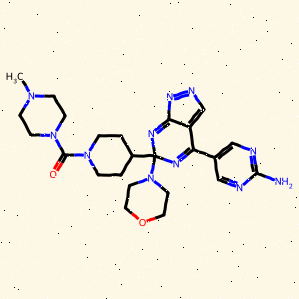 CN1CCN(C(=O)N2CCC(C3(N4CCOCC4)N=C4N=NC=C4C(c4cnc(N)nc4)=N3)CC2)CC1